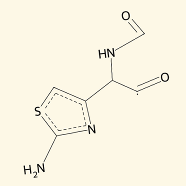 Nc1nc(C([C]=O)NC=O)cs1